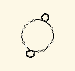 c1ccc2c(c1)COCCOCCOCc1ccccc1COCCOCCOC2